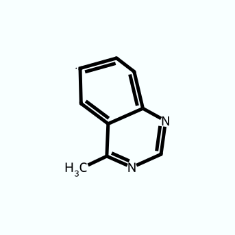 Cc1ncnc2cc[c]cc12